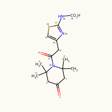 CC1(C)CC(=O)CC(C)(C)N1C(=O)Cc1csc(NC(=O)O)n1